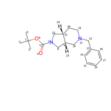 CC(C)(C)OC(=O)N1C[C@H]2CN(Cc3ccccc3)CC[C@H]2C1